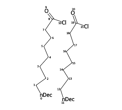 CCCCCCCCCCCCCCCCCC(=O)Cl.CCCCCCCCCCCCCCCCCC(=O)Cl